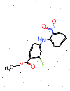 CCOC(=O)c1ccc(Nc2ccccc2[N+](=O)[O-])cc1F